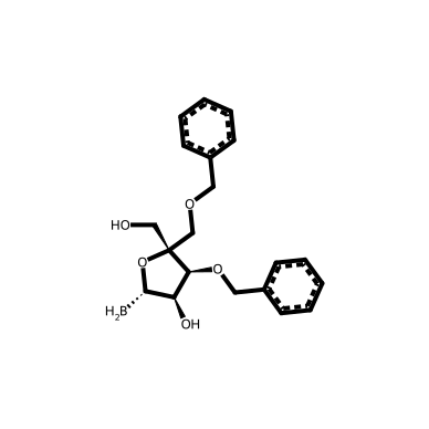 B[C@@H]1O[C@](CO)(COCc2ccccc2)[C@@H](OCc2ccccc2)[C@H]1O